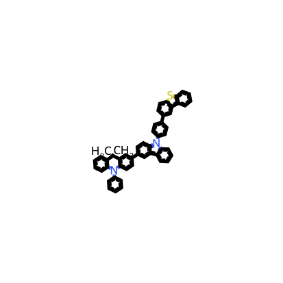 CC1(C)c2ccccc2N(c2ccccc2)c2ccc(-c3ccc4c(c3)c3ccccc3n4-c3ccc(-c4ccc5sc6ccccc6c5c4)cc3)cc21